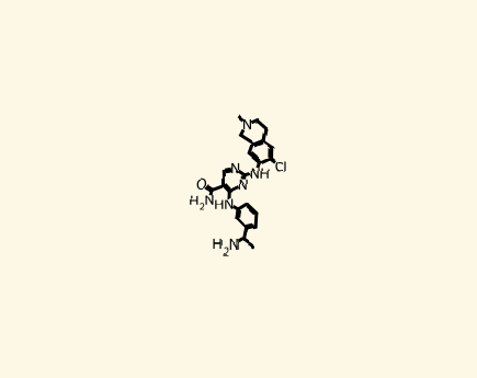 CC(N)c1cccc(Nc2nc(Nc3cc4c(cc3Cl)CCN(C)C4)ncc2C(N)=O)c1